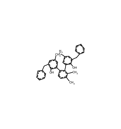 Cc1cc(Cc2ccccc2)c(O)c(-c2ccc(C)c(C)c2-c2cc(C)cc(Cc3ccccc3)c2O)c1